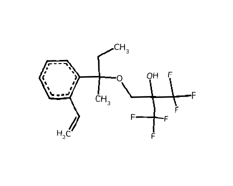 C=Cc1ccccc1C(C)(CC)OCC(O)(C(F)(F)F)C(F)(F)F